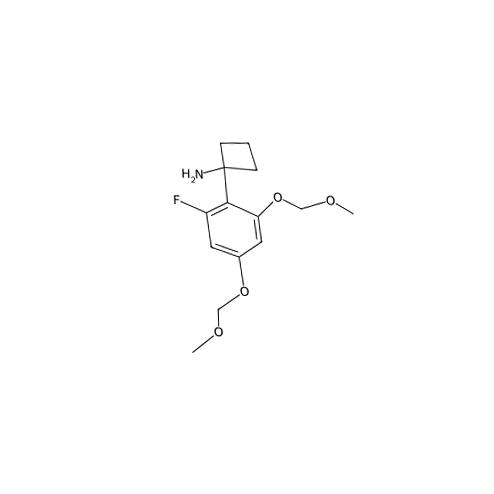 COCOc1cc(F)c(C2(N)CCC2)c(OCOC)c1